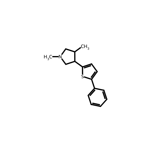 CC1CN(C)CC1c1ccc(-c2ccccc2)s1